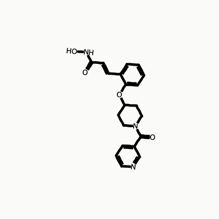 O=C(/C=C/c1ccccc1OC1CCN(C(=O)c2cccnc2)CC1)NO